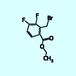 CCOC(=O)c1ccc(F)c(F)c1CBr